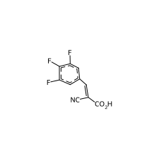 N#C/C(=C\c1cc(F)c(F)c(F)c1)C(=O)O